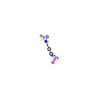 C[C@@H]1CCN(C(=O)OC(C)(C)C)[C@@H]1c1nc(C#Cc2ccc(-c3ccc4[nH]c([C@@H]5CCCN5C(=O)OC(C)(C)C)nc4c3)cc2)c[nH]1